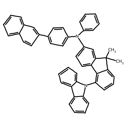 CC1(C)c2cc(N(c3ccccc3)c3ccc(-c4ccc5ccccc5c4)cc3)ccc2-c2c(-n3c4ccccc4c4ccccc43)cccc21